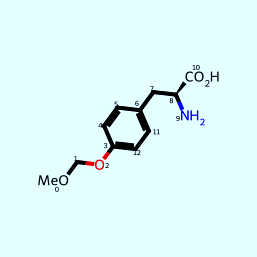 COCOc1ccc(C[C@H](N)C(=O)O)cc1